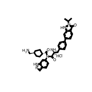 CC(C)n1[nH]c2cc(-c3ccc(C[C@H](N)C(=O)N(c4ccc5cn[nH]c5c4)C(=O)[C@H]4CC[C@H](CN)CC4)cc3)ccc2c1=O.Cl